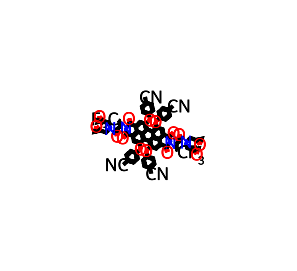 N#Cc1ccc(Oc2cc3c4c(cc(Oc5ccc(C#N)cc5)c5c6c(Oc7ccc(C#N)cc7)cc7c8c(cc(Oc9ccc(C#N)cc9)c(c2c45)c86)C(=O)N(C(CC(F)(F)F)C(=O)N(CC2CO2)CC2CO2)C7=O)C(=O)N(C(CC(F)(F)F)C(=O)N(CC2CO2)CC2CO2)C3=O)cc1